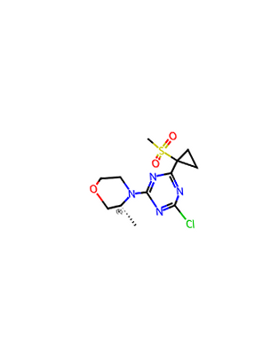 C[C@@H]1COCCN1c1nc(Cl)nc(C2(S(C)(=O)=O)CC2)n1